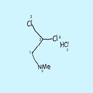 CNCC(Cl)Cl.Cl